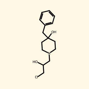 OC(CCl)CN1CCC(O)(Cc2ccccc2)CC1